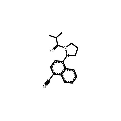 CC(C)C(=O)N1CCCN1c1ccc(C#N)c2ccccc12